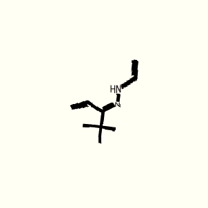 C=CN/N=C(\C=C)C(C)(C)C